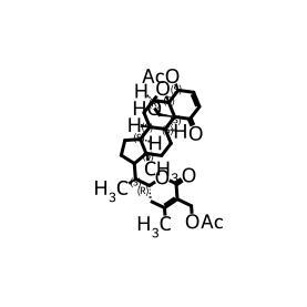 CC(=O)OCC1=C(C)C[C@H]([C@@H](C)C2CC[C@H]3[C@@H]4C[C@H]5O[C@]56[C@@H](OC(C)=O)C=CC(=O)[C@]6(CO)[C@H]4CC[C@]23C)OC1=O